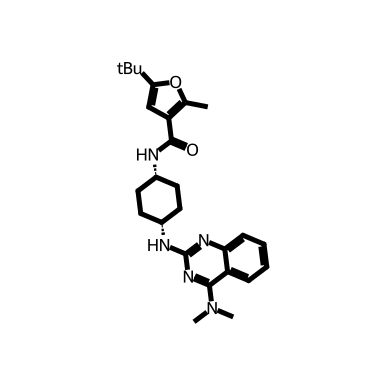 Cc1oc(C(C)(C)C)cc1C(=O)N[C@H]1CC[C@@H](Nc2nc(N(C)C)c3ccccc3n2)CC1